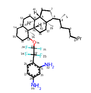 CC(C)CCC[C@@H](C)[C@H]1CC[C@H]2[C@@H]3CCC4CCCC(OC(F)(F)C(F)(F)c5ccc(N)cc5N)[C@]4(C)[C@H]3CC[C@]12C